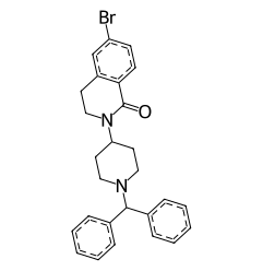 O=C1c2ccc(Br)cc2CCN1C1CCN(C(c2ccccc2)c2ccccc2)CC1